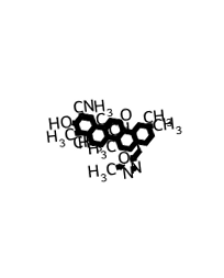 Cc1nnc(C[C@]23CCC(C)(C)CC2C2C(=O)C=C4[C@@]5(C)C=C(C#N)C(O)C(C)(C)[C@@H]5CC[C@@]4(C)[C@]2(C)CC3)o1